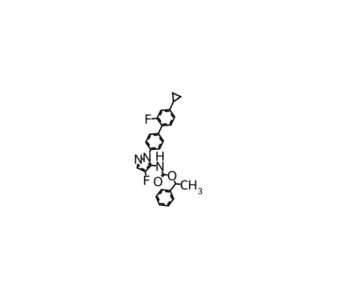 CC(OC(=O)Nc1c(F)cnn1-c1ccc(-c2ccc(C3CC3)cc2F)cc1)c1ccccc1